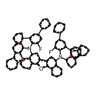 Fc1cc(-c2ccccc2)cc(-c2ccccc2)c1N(c1cc2c3cc(N(c4c(F)cc(-c5ccccc5)cc4-c4ccccc4)c4cccc5c4oc4ccccc45)c4ccccc4c3oc2c2ccccc12)c1cccc2c1oc1ccccc12